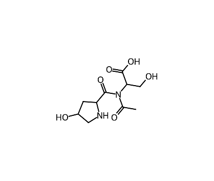 CC(=O)N(C(=O)C1CC(O)CN1)C(CO)C(=O)O